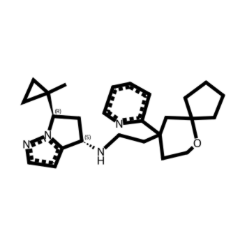 CC1([C@H]2C[C@H](NCCC3(c4ccccn4)CCOC4(CCCC4)C3)c3ccnn32)CC1